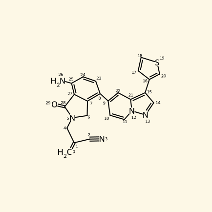 C=C(C#N)CN1Cc2c(-c3ccn4ncc(-c5ccsc5)c4c3)ccc(N)c2C1=O